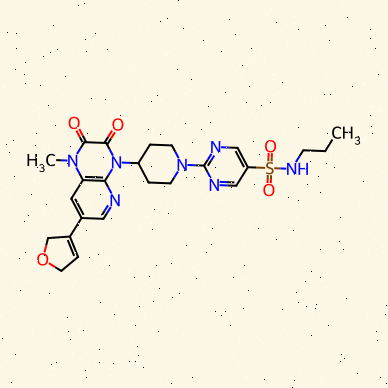 CCCNS(=O)(=O)c1cnc(N2CCC(n3c(=O)c(=O)n(C)c4cc(C5=CCOC5)cnc43)CC2)nc1